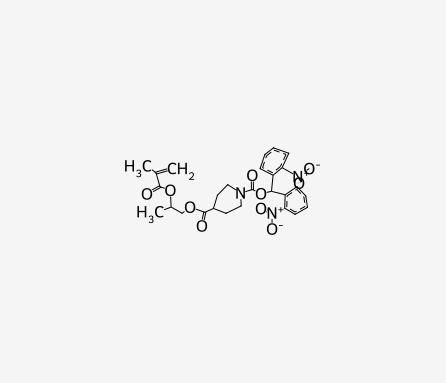 C=C(C)C(=O)OC(C)COC(=O)C1CCN(C(=O)OC(c2ccccc2[N+](=O)[O-])c2ccccc2[N+](=O)[O-])CC1